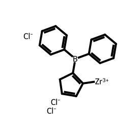 [Cl-].[Cl-].[Cl-].[Zr+3][C]1=C(B(c2ccccc2)c2ccccc2)CC=C1